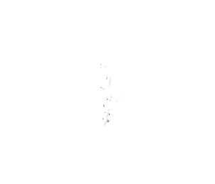 NS(=O)(=O)c1ccc(-n2nc(C(=O)NCCN3CCOCC3)cc2-c2ccccc2)cc1